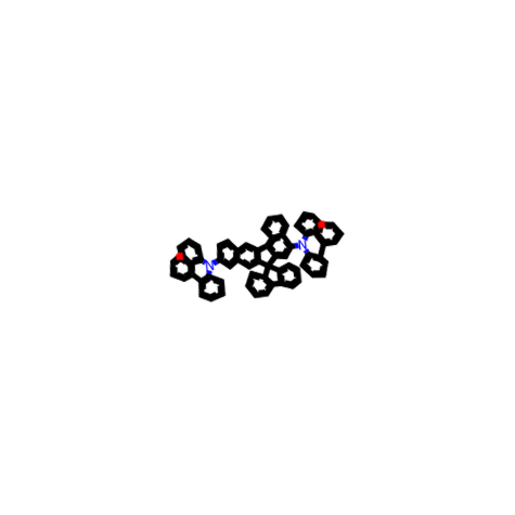 c1ccc(-c2ccccc2N(c2ccccc2)c2ccc3cc4c(cc3c2)C2(c3ccccc3-c3ccccc32)c2cc(N(c3ccccc3)c3ccccc3-c3ccccc3)c3ccccc3c2-4)cc1